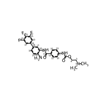 CN(C)CCOC(=O)Nc1ccc(C(=O)Nc2cc(-c3cc(F)c(F)c(F)c3)ccc2N)cc1